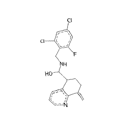 C=C1CCC(C(O)NCc2c(F)cc(Cl)cc2Cl)c2cccnc21